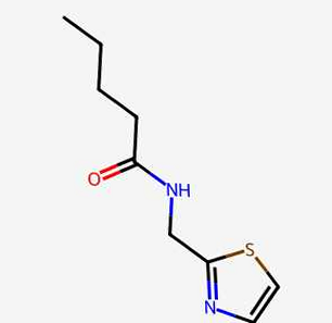 CCCCC(=O)NCc1nccs1